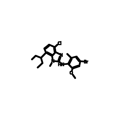 CCC(CC)c1ccc(Cl)c2nc(Nc3c(C)cc(Br)cc3OC)n(C)c12